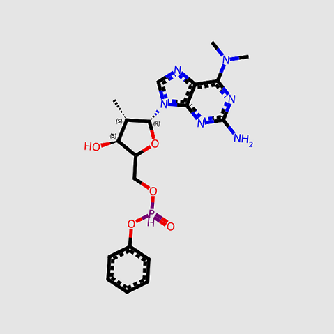 C[C@H]1[C@H](O)C(CO[PH](=O)Oc2ccccc2)O[C@H]1n1cnc2c(N(C)C)nc(N)nc21